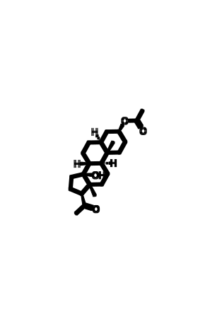 CC(=O)O[C@H]1CC[C@@]2(C)[C@@H](CC[C@@H]3[C@@H]2CC[C@]2(C)[C@@H](C(C)=O)CC[C@]32O)C1